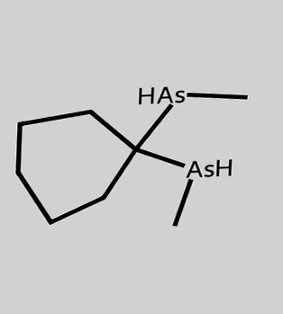 C[AsH]C1([AsH]C)CCCCC1